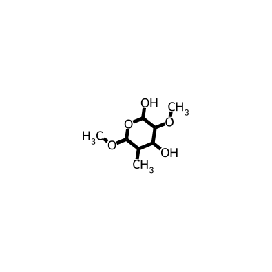 COC1OC(O)C(OC)C(O)C1C